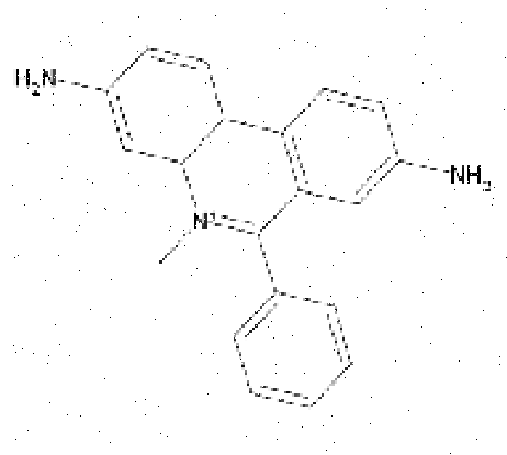 C[N+]1=C(c2ccccc2)c2cc(N)ccc2C2C=CC(N)=CC21